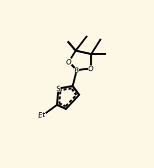 CCc1ccc(B2OC(C)(C)C(C)(C)O2)s1